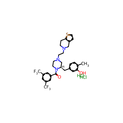 Cc1ccc(C[C@@H]2CN(CCN3CCc4sccc4C3)CCN2C(=O)c2cc(C(F)(F)F)cc(C(F)(F)F)c2)cc1O.Cl.Cl